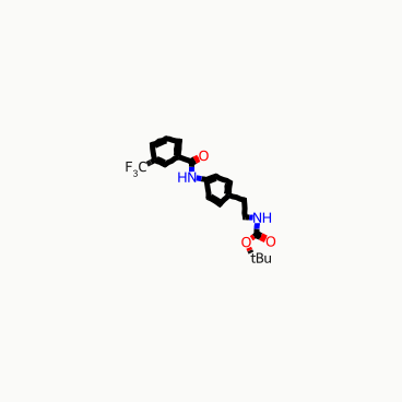 CC(C)(C)OC(=O)NCCc1ccc(NC(=O)c2cccc(C(F)(F)F)c2)cc1